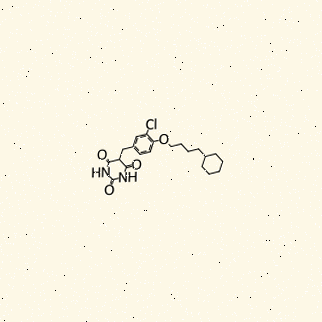 O=C1NC(=O)C(Cc2ccc(OCCCCC3CCCCC3)c(Cl)c2)C(=O)N1